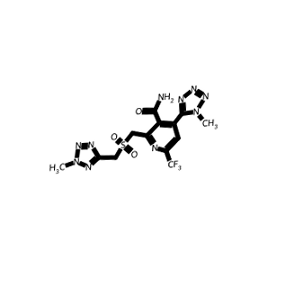 Cn1nnc(CS(=O)(=O)Cc2nc(C(F)(F)F)cc(-c3nnnn3C)c2C(N)=O)n1